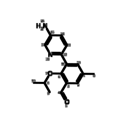 Cc1cc(C=O)c(OC(C)C)c(-c2ccc(N)cn2)c1